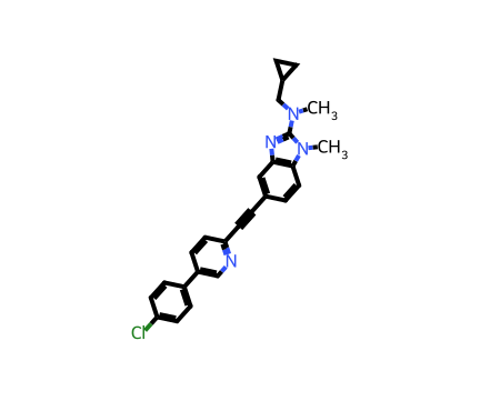 CN(CC1CC1)c1nc2cc(C#Cc3ccc(-c4ccc(Cl)cc4)cn3)ccc2n1C